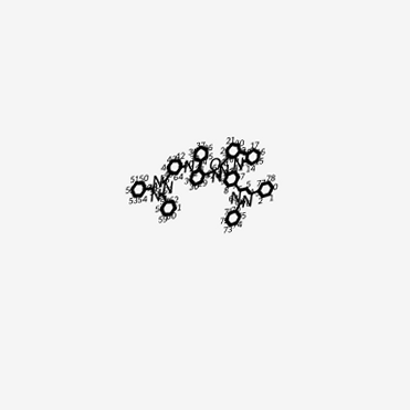 c1ccc(-c2cc(-c3cccc(-n4c5ccccc5c5cccc(-c6nnc(-c7cccc8c7c7ccccc7n8-c7cccc(-c8nc(-c9ccccc9)nc(-c9ccccc9)n8)c7)o6)c54)c3)nc(-c3ccccc3)n2)cc1